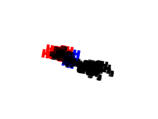 C/C(=C\CNc1ncnc2c1ncn2[C@@H]1O[C@H](CO)C(O)C1O)CCC1(C)[C@@H]2CCCC(C)(C)C2=CC[C@@H]1C